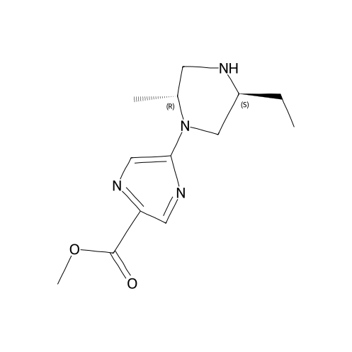 CC[C@H]1CN(c2cnc(C(=O)OC)cn2)[C@H](C)CN1